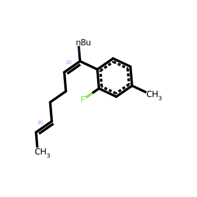 C/C=C/CC/C=C(/CCCC)c1ccc(C)cc1F